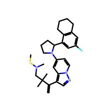 C=C(c1cnn2ccc(N3CCCC3c3cc(F)cc4c3CCCC4)cc12)C(C)(C)CN(C)SC